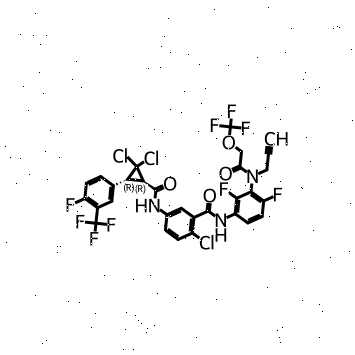 C#CCN(C(=O)COC(F)(F)F)c1c(F)ccc(NC(=O)c2cc(NC(=O)[C@H]3[C@H](c4ccc(F)c(C(F)(F)F)c4)C3(Cl)Cl)ccc2Cl)c1F